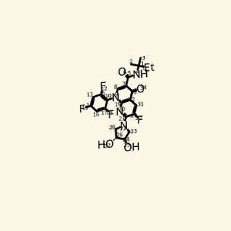 CCC(C)(C)NC(=O)c1cn(-c2c(F)cc(F)cc2F)c2nc(N3CC(O)[C@H](O)C3)c(F)cc2c1=O